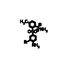 Cc1ccc(S(N)(=O)=O)c(S(=O)(=O)c2ccc(N)c(Br)c2)c1